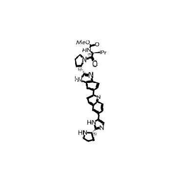 COC(=O)N[C@H](C(=O)N1CCC[C@H]1c1nc2ccc(-c3ccc4cc(-c5cnc([C@@H]6CCCN6)[nH]5)ccc4n3)cc2[nH]1)C(C)C